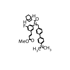 COC(=O)/C=C/c1cc(F)cc(N(Cc2ccc(-c3ccc(N(C)C)cc3)cc2)C(=O)[C@@H]2C[C@H]3CC[C@@H]2C3)c1